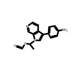 CC(OC=O)n1cc(-c2ccc(N)cc2)c2ccncc21